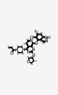 C=CC(=O)N1CCN(c2nc(O[C@H]3CCOC3)nc3c(Oc4c(Cl)c(F)cc5[nH]ncc45)nccc23)CC1